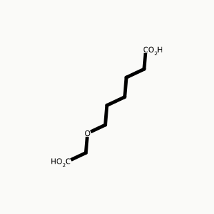 O=C(O)CCCCCOCC(=O)O